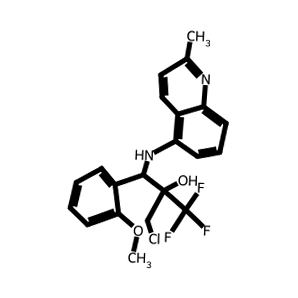 COc1ccccc1C(Nc1cccc2nc(C)ccc12)C(O)(CCl)C(F)(F)F